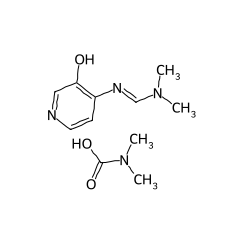 CN(C)/C=N/c1ccncc1O.CN(C)C(=O)O